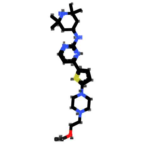 CC1(C)CC(Nc2nccc(-c3ccc(N4CCN(CCOC=O)CC4)s3)n2)CC(C)(C)N1